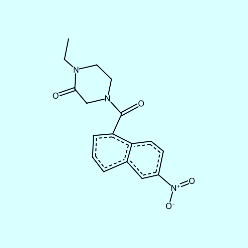 CCN1CCN(C(=O)c2cccc3cc([N+](=O)[O-])ccc23)CC1=O